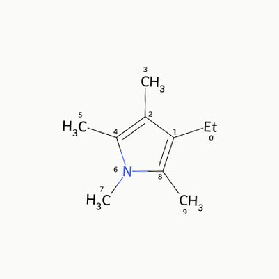 CCc1c(C)c(C)n(C)c1C